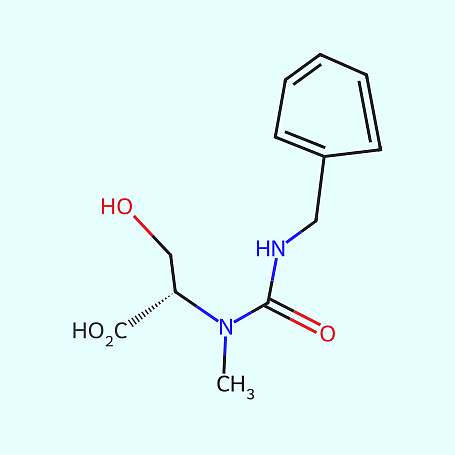 CN(C(=O)NCc1ccccc1)[C@@H](CO)C(=O)O